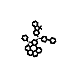 CC1(C)c2ccccc2-c2ccc(N(c3ccc(-c4ccccc4)cc3)c3cc4c5c6c7c(ccc8ccc9cccc-4c9c87)ccc6n(-c4ccccc4)c5c3)cc21